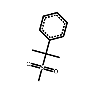 CC(C)(c1ccccc1)S(C)(=O)=O